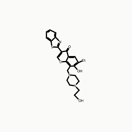 CCc1cc2c(=O)c(-c3nc4ccccc4s3)coc2c(CN2CCN(CCO)CC2)c1O